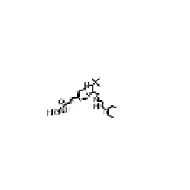 CCN(CC)CCNCC1C(C(C)(C)C)N=C2C=C(/C=C/C(=O)NO)C=CN21